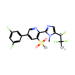 CCS(=O)(=O)c1cc(-c2cc(F)cc(F)c2)cnc1-c1ncc([C@@H](F)C(F)(F)C(F)(F)F)n1C